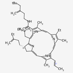 C=C(CC)CC[C@H]1Cc2cc3[nH]c(cc4nc(cc5[nH]c(c(CC(=C)CC)c1n2)c(C(=C)NCCC(=C)CC(C)(C)C)c5C)C(CC)=C4C)c(/C=C/C)c3C